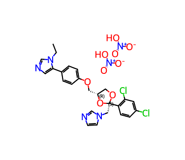 CCn1cncc1-c1ccc(OC[C@@H]2CO[C@@](Cn3ccnc3)(c3ccc(Cl)cc3Cl)O2)cc1.O=[N+]([O-])O.O=[N+]([O-])O